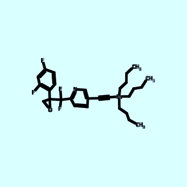 CCC[CH2][Sn]([C]#Cc1ccc(C(F)(F)C2(c3ccc(F)cc3F)CO2)nc1)([CH2]CCC)[CH2]CCC